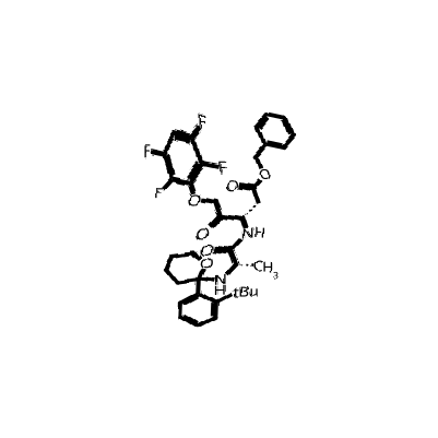 C[C@H](NC1(c2ccccc2C(C)(C)C)CCCCO1)C(=O)N[C@@H](CC(=O)OCc1ccccc1)C(=O)COc1c(F)c(F)cc(F)c1F